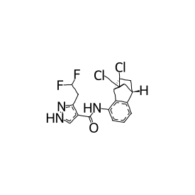 O=C(Nc1cccc2c1[C@@]13CC[C@H]2C1C3(Cl)Cl)c1c[nH]nc1CC(F)F